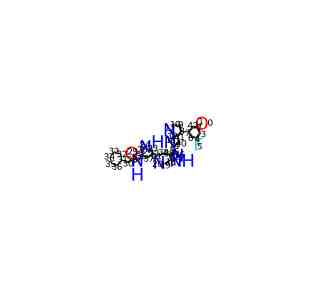 COc1cc(F)cc(-c2ccnc3[nH]c(-c4n[nH]c5cnc(-c6cncc(NC(=O)CC7CCCCC7)c6)cc45)cc23)c1